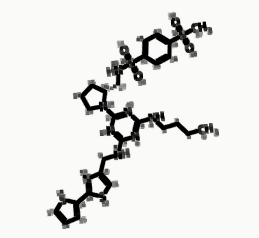 CCCCNc1nc(NCc2csc(-c3cccs3)n2)nc(N2CCC[C@@H]2CNS(=O)(=O)c2ccc(S(C)(=O)=O)cc2)n1